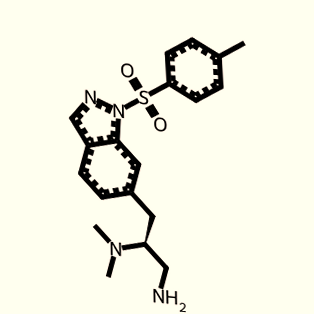 Cc1ccc(S(=O)(=O)n2ncc3ccc(C[C@@H](CN)N(C)C)cc32)cc1